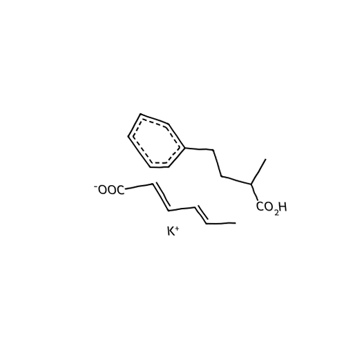 CC(CCc1ccccc1)C(=O)O.CC=CC=CC(=O)[O-].[K+]